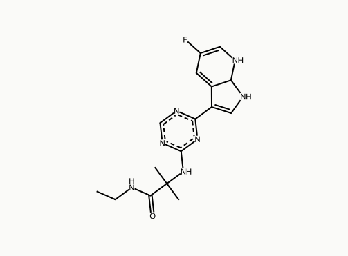 CCNC(=O)C(C)(C)Nc1ncnc(C2=CNC3NC=C(F)C=C23)n1